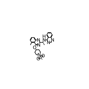 Cc1cccc2nc([C@H](C)Nc3ncnc4ccccc34)nc(OC3CCN(S(C)(=O)=O)CC3)c12